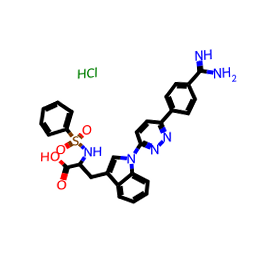 Cl.N=C(N)c1ccc(-c2ccc(-n3cc(CC(NS(=O)(=O)c4ccccc4)C(=O)O)c4ccccc43)nn2)cc1